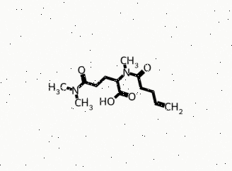 C=CCCC(=O)N(C)C(CCC(=O)N(C)C)C(=O)O